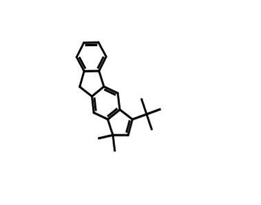 CC(C)(C)C1=CC(C)(C)c2cc3c(cc21)-c1ccccc1C3